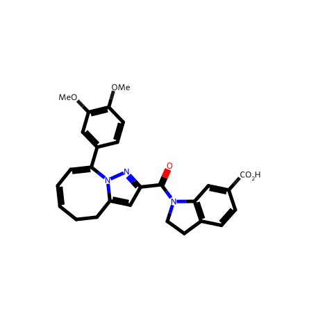 COc1ccc(/C2=C/C=C\CCc3cc(C(=O)N4CCc5ccc(C(=O)O)cc54)nn32)cc1OC